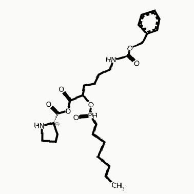 CCCCCCC[PH](=O)OC(CCCCNC(=O)OCc1ccccc1)C(=O)OC(=O)[C@@H]1CCCN1